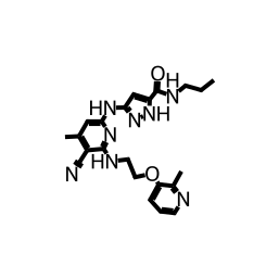 CCCNC(=O)c1cc(Nc2cc(C)c(C#N)c(NCCOc3cccnc3C)n2)n[nH]1